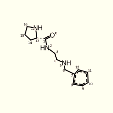 O=C(NCCNCc1ccccc1)[C@@H]1CCCN1